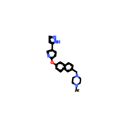 CC(=O)N1CCN(Cc2ccc3cc(Oc4ccc(-c5ccn[nH]5)cn4)ccc3c2)CC1